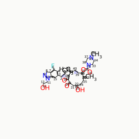 C/C(=C\c1cc(F)c2cnn(CCO)c2c1)[C@H]1C(=O)C(=O)C[C@H](O)CC[C@H](C)[C@@H](OC(=O)N2CCN(C)CC2)/C=C/[C@@H]1C